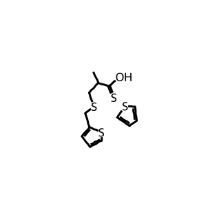 CC(CSCc1cccs1)C(O)=S.c1ccsc1